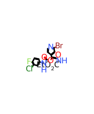 CCOC(=O)Nc1oc2c(Br)nccc2c1OC(=O)Nc1ccc(F)c(Cl)c1